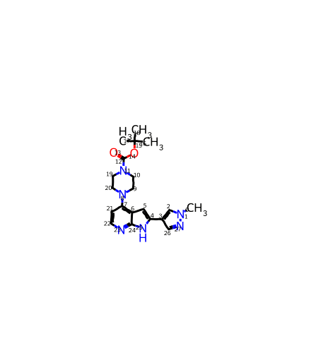 Cn1cc(-c2cc3c(N4CCN(C(=O)OC(C)(C)C)CC4)ccnc3[nH]2)cn1